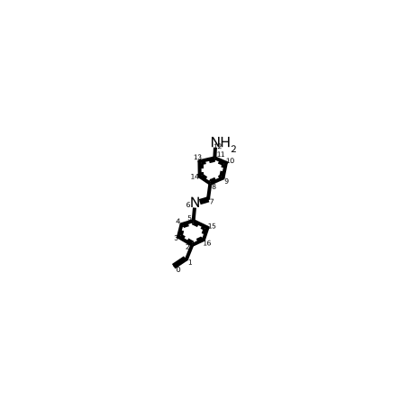 C=Cc1ccc(N=Cc2ccc(N)cc2)cc1